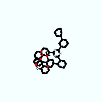 CC1(C)c2ccccc2C2(c3ccccc3Oc3ccccc32)c2ccc(-c3ccccc3-c3nc(-c4cccc(-c5ccccc5)c4)nc(-c4cccc(-c5ccccc5)c4)n3)cc21